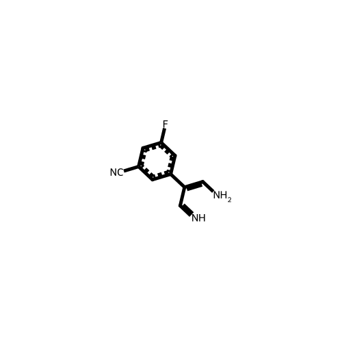 N#Cc1cc(F)cc(/C(C=N)=C/N)c1